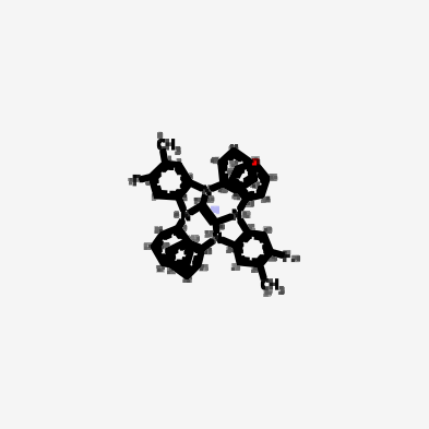 Cc1cc2c(cc1F)N(c1ccccc1)/C(=C1\N(c3ccccc3)c3cc(C)c(F)cc3N1c1ccccc1)N2c1ccccc1